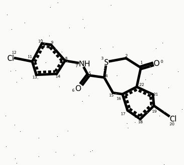 O=C1CSC(C(=O)Nc2ccc(Cl)cc2)Cc2ccc(Cl)cc21